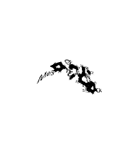 CSc1cccc(N2CCN(C(Cc3ccc(C#N)cc3)c3cnc[nH]3)CC2=O)c1